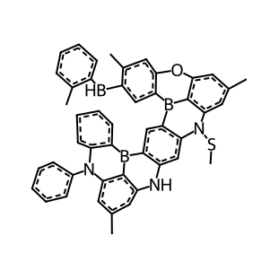 CSN1c2cc3c(cc2B2c4cc(Bc5ccccc5C)c(C)cc4Oc4cc(C)cc1c42)B1c2ccccc2N(c2ccccc2)c2cc(C)cc(c21)N3